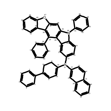 C1=C(c2ccccc2)CCC(N(c2ccc3ccccc3c2)c2ccc3c(c2)c2c(-c4ccccc4)c4c(cc2n3-c2ccccc2)oc2ccccc24)=C1